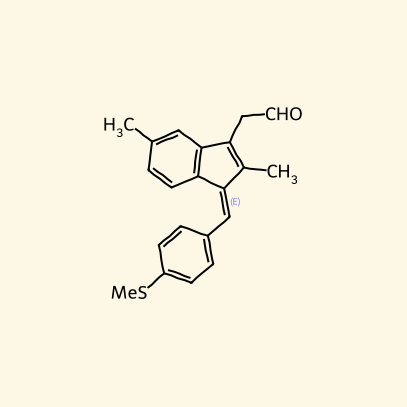 CSc1ccc(/C=C2/C(C)=C(CC=O)c3cc(C)ccc32)cc1